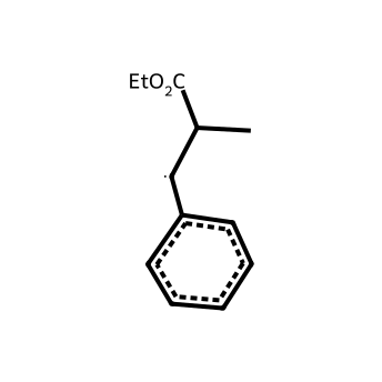 CCOC(=O)C(C)[CH]c1ccccc1